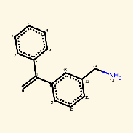 C=C(c1ccccc1)c1cccc(CN)c1